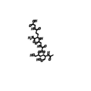 CC(=O)N[C@@H](C=O)[C@@H](OCC(=O)NCC(=O)NC(CCC(=O)NCC(=O)O)C(N)=O)[C@H](O)[C@H](O)CO